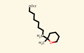 CCCCCCCCCCCCCC[SiH2]C1(C)CCCCO1